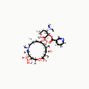 CC[C@H]1OC(=O)[C@H](C)[C@@H](O)[C@H](C)[C@@H](O[C@@H]2O[C@H](C)C[C@H](N(C)C)[C@H]2OC(=O)c2cccnc2)[C@](C)(O)C[C@@H](C)CN(C)[C@H](C)[C@@H](O)[C@]1(C)O